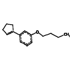 CCCCOc1cccc(C2=CCCC2)c1